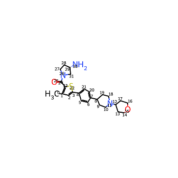 Cc1cc(-c2ccc(C3CCN(C4CCOCC4)CC3)cc2)sc1C(=O)N1CC[C@H](N)C1